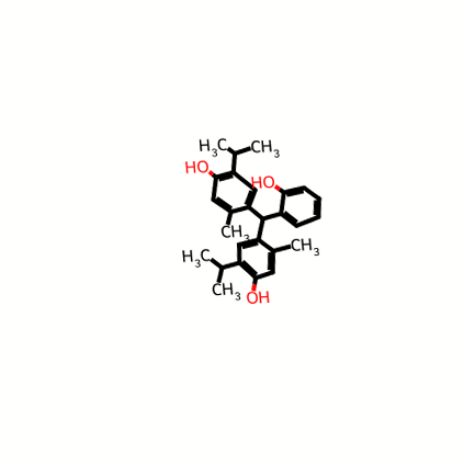 Cc1cc(O)c(C(C)C)cc1C(c1cc(C(C)C)c(O)cc1C)c1ccccc1O